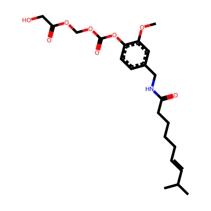 COc1cc(CNC(=O)CCCC/C=C/C(C)C)ccc1OC(=O)OCOC(=O)CO